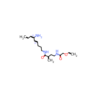 C=C/C=C(N)\C=C\CCCNC(=O)C(=C)CCNC(=O)COC=C